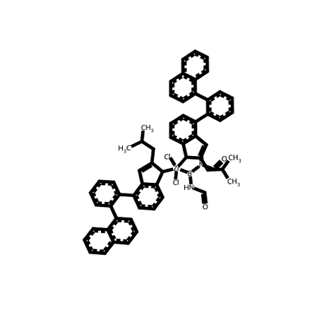 CC(C)CC1=Cc2c(-c3ccccc3-c3cccc4ccccc34)cccc2[CH]1[Zr]([Cl])([Cl])([B](NC=O)NC=O)[CH]1C(CC(C)C)=Cc2c(-c3ccccc3-c3cccc4ccccc34)cccc21